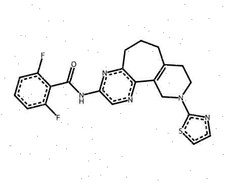 O=C(Nc1cnc2c(n1)CCCC1=C2CN(c2nccs2)CC1)c1c(F)cccc1F